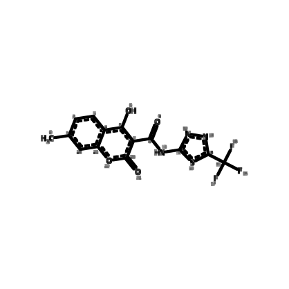 Cc1ccc2c(O)c(C(=O)Nc3nnc(C(F)(F)F)s3)c(=O)oc2c1